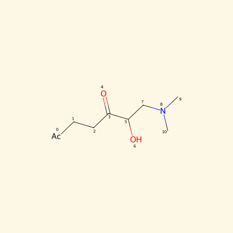 CC(=O)CCC(=O)C(O)CN(C)C